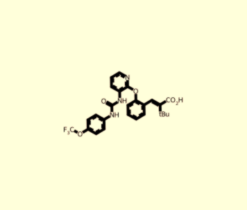 CC(C)(C)/C(=C\c1ccccc1Oc1ncccc1NC(=O)Nc1ccc(OC(F)(F)F)cc1)C(=O)O